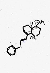 C[C@@]1(C(=O)O)CCC[C@@]2(C)C(/C=C/Sc3ccccc3)=CCC[C@H]12